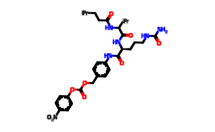 CC(C)CCC(=O)NC(C(=O)N[C@@H](CCCNC(N)=O)C(=O)Nc1ccc(COC(=O)Oc2ccc([N+](=O)[O-])cc2)cc1)C(C)C